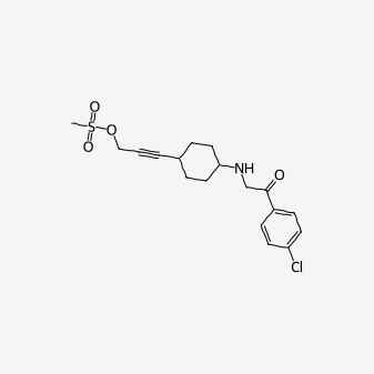 CS(=O)(=O)OCC#CC1CCC(NCC(=O)c2ccc(Cl)cc2)CC1